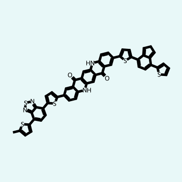 Cc1ccc(-c2ccc(-c3ccc(-c4ccc5[nH]c6cc7c(=O)c8cc(-c9ccc(-c%10ccc(-c%11cccs%11)c%11c%10=CCC=%11)s9)ccc8[nH]c7cc6c(=O)c5c4)s3)c3nsnc23)s1